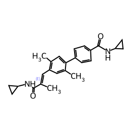 C/C(=C\c1cc(C)c(-c2ccc(C(=O)NC3CC3)cc2)cc1C)C(=O)NC1CC1